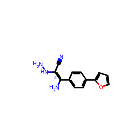 N#C/C(NN)=C(/N)c1ccc(-c2ccco2)cc1